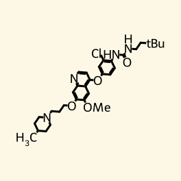 COc1cc2c(Oc3ccc(NC(=O)NCCC(C)(C)C)c(Cl)c3)ccnc2cc1OCCCN1CCC(C)CC1